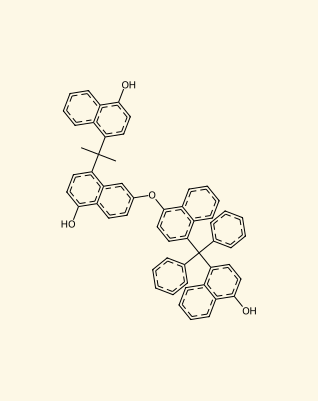 CC(C)(c1ccc(O)c2ccccc12)c1ccc(O)c2ccc(Oc3ccc(C(c4ccccc4)(c4ccccc4)c4ccc(O)c5ccccc45)c4ccccc34)cc12